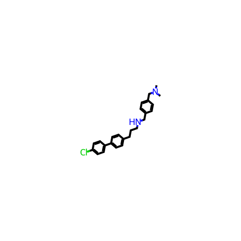 CN(C)Cc1ccc(CNCCCc2ccc(-c3ccc(Cl)cc3)cc2)cc1